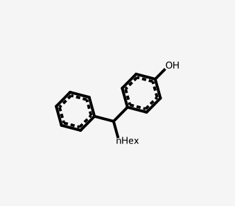 CCCCCCC(c1ccccc1)c1ccc(O)cc1